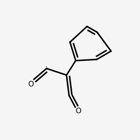 O=[C]C(=C=O)c1ccccc1